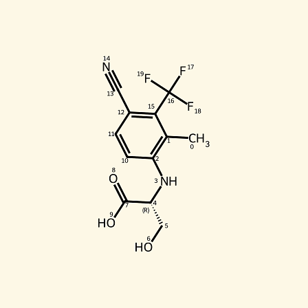 Cc1c(N[C@H](CO)C(=O)O)ccc(C#N)c1C(F)(F)F